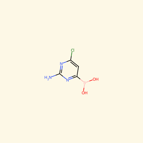 Nc1nc(Cl)cc(B(O)O)n1